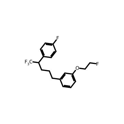 FCCOc1cccc(CCCC(c2ccc(F)cc2)C(F)(F)F)c1